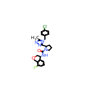 Cc1nnc(C2CCCN2C(=O)N[C@H]2COCc3c(F)cccc32)n1Cc1ccc(Cl)cc1